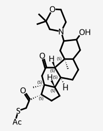 CC(=O)SCC(=O)[C@H]1CC[C@H]2[C@@H]3CCC4CC(O)C(N5CCOC(C)(C)C5)C[C@]4(C)[C@H]3C(=O)C[C@]12C